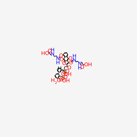 CC(=O)c1cc2c(OC(=O)NCCNCC(=O)O)c3ccccc3c(OC(=O)NCCNCC(=O)O)c2o1.O.O=S(=O)(O)Cc1ccccc1.O=S(=O)(O)Cc1ccccc1